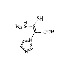 N#CC(=C(S)S)n1ccnc1.[Na]